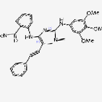 C=N/C(=N\C(Nc1ccccc1C(=O)NC)=C(/C)C#Cc1ccccc1)Nc1cc(OC)c(OC)c(OC)c1